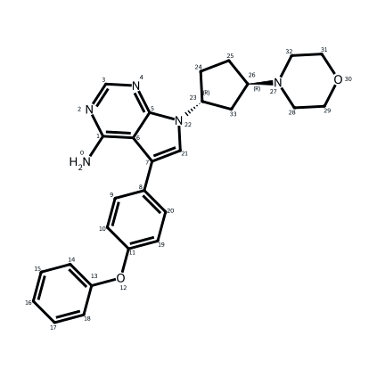 Nc1ncnc2c1c(-c1ccc(Oc3ccccc3)cc1)cn2[C@@H]1CC[C@@H](N2CCOCC2)C1